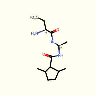 CC1CCC(C)C1C(=O)N[C@H](C)NC(=O)[C@@H](N)CC(=O)O